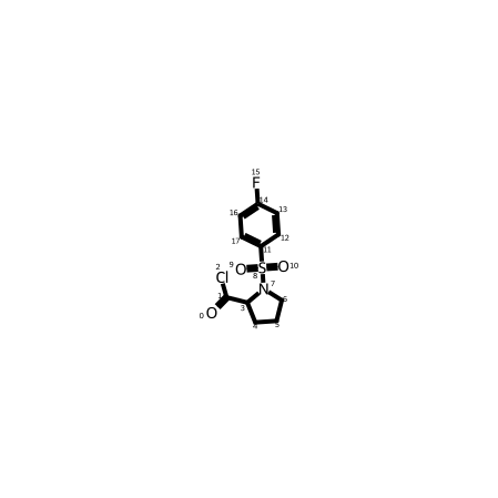 O=C(Cl)C1CCCN1S(=O)(=O)c1ccc(F)cc1